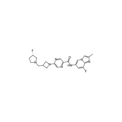 Cc1cn2cc(NC(=O)c3cnc(N4CC(CN5CC[C@H](F)C5)C4)cn3)cc(F)c2n1